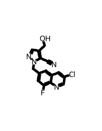 N#Cc1c(CO)cnn1Cc1cc(F)c2ncc(Cl)cc2c1